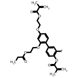 C=C(C)C(=O)OCCOc1ccc(-c2ccc(OC(=O)C(=C)C)c(F)c2)c(OCCOC(=O)CC)c1